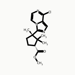 COC(=O)[C@@H]1CC[C@](C)(c2ncc3c(Cl)nccn23)C1(C)C